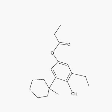 CCC(=O)Oc1cc(CC)c(O)c(C2(C)CCCCC2)c1